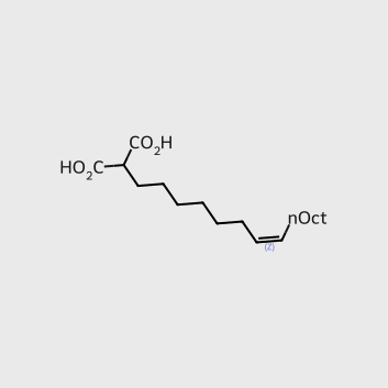 CCCCCCCC/C=C\CCCCCCC(C(=O)O)C(=O)O